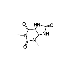 CN1C(=O)C2NC(=O)NC2N(C)C1=O